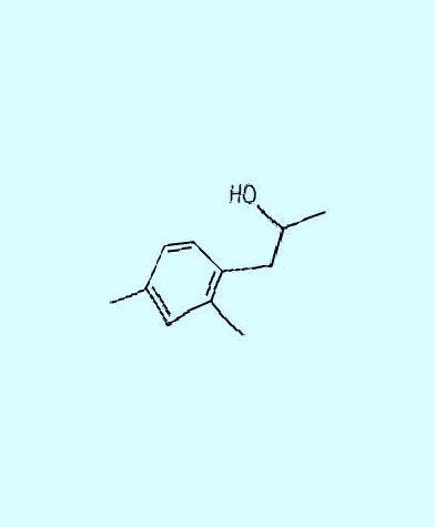 Cc1ccc(CC(C)O)c(C)c1